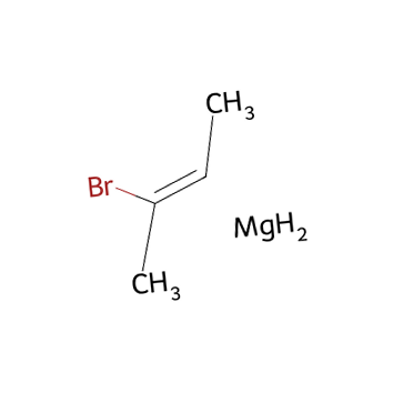 C/C=C(/C)Br.[MgH2]